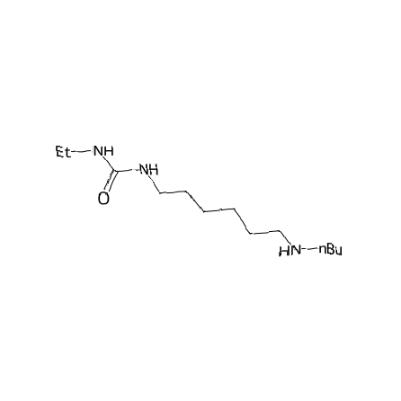 CCCCNCCCCCCNC(=O)NCC